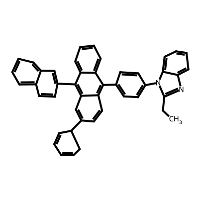 CCc1nc2ccccc2n1-c1ccc(-c2c3ccccc3c(-c3ccc4ccccc4c3)c3cc(C4C=CC=CC4)ccc23)cc1